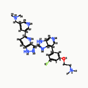 CN(C)CCOc1cc(F)cc(-c2cncc3[nH]c(-c4n[nH]c5ccc(-c6cncc(CN(C)C)c6)nc45)nc23)c1